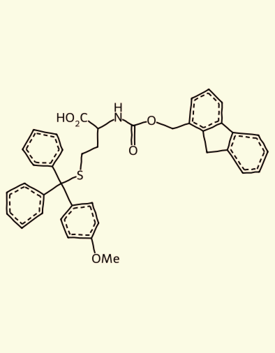 COc1ccc(C(SCCC(NC(=O)OCc2cccc3c2Cc2ccccc2-3)C(=O)O)(c2ccccc2)c2ccccc2)cc1